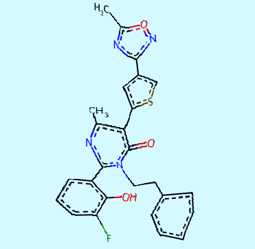 Cc1nc(-c2csc(-c3c(C)nc(-c4cccc(F)c4O)n(CCc4ccccc4)c3=O)c2)no1